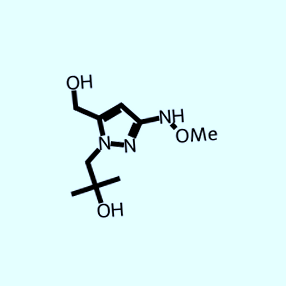 CONc1cc(CO)n(CC(C)(C)O)n1